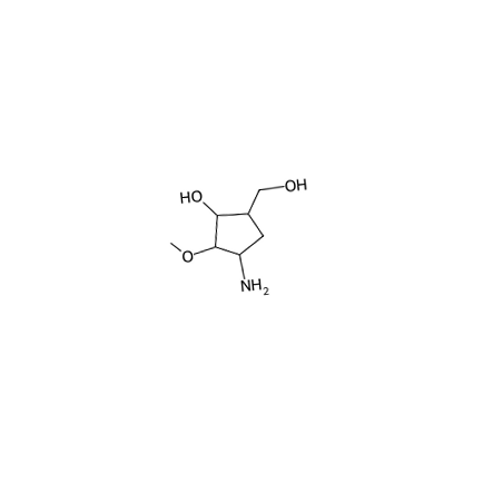 COC1C(N)CC(CO)C1O